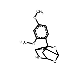 COc1ccc(C23CC4OC(CC(O2)P4)O3)c(OC)c1